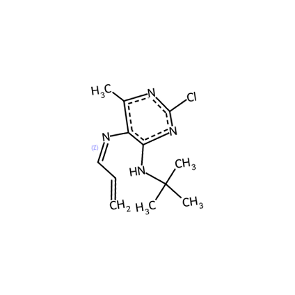 C=C/C=N\c1c(C)nc(Cl)nc1NC(C)(C)C